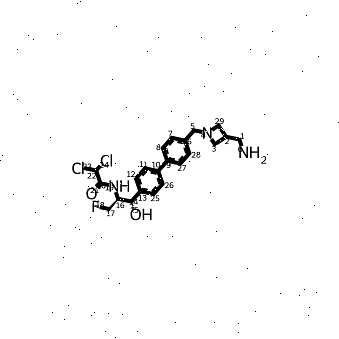 NCC1CN(Cc2ccc(-c3ccc([C@H](O)[C@@H](CF)NC(=O)C(Cl)Cl)cc3)cc2)C1